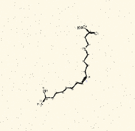 COC(=O)CCSCCCC/C=C\CCCCCCC(C)O